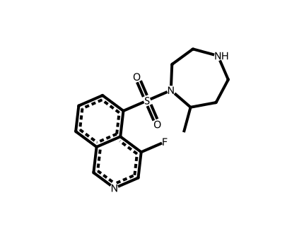 CC1CCNCCN1S(=O)(=O)c1cccc2cncc(F)c12